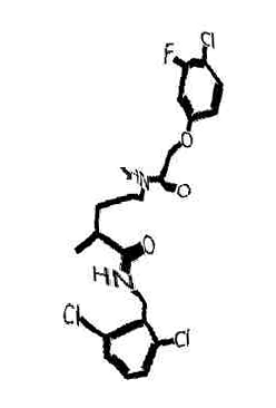 C=C(CCNC(=O)COc1ccc(Cl)c(F)c1)C(=O)NCc1c(Cl)cccc1Cl